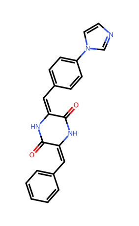 O=c1[nH]c(=Cc2ccc(-n3ccnc3)cc2)c(=O)[nH]c1=Cc1ccccc1